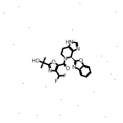 CC(C)(O)c1nc(C(F)F)c(C(=O)N2CCc3[nH]cnc3[C@H]2c2nc3ccccc3o2)o1